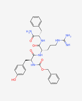 N=C(N)NCCC[C@H](NC(=O)[C@H](Cc1ccc(O)cc1)NC(=O)OCc1ccccc1)C(=O)N[C@@H](Cc1ccccc1)C(N)=O